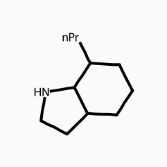 CCCC1CCCC2CCNC12